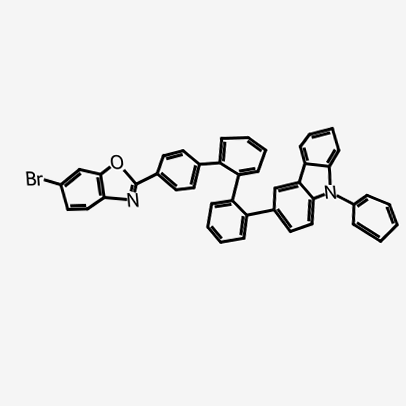 Brc1ccc2nc(-c3ccc(-c4ccccc4-c4ccccc4-c4ccc5c(c4)c4ccccc4n5-c4ccccc4)cc3)oc2c1